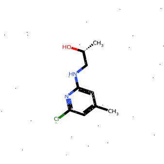 Cc1cc(Cl)nc(NC[C@@H](C)O)c1